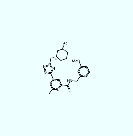 COc1cccc(CNC(=O)c2cc(-c3nnn(C[C@H]4CCCN(C(C)=O)C4)n3)cc(C)n2)c1